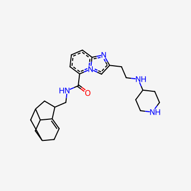 O=C(NCC1CC2CC3CC=C1C2C3)c1cccc2nc(CCNC3CCNCC3)cn12